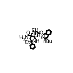 CCCCc1cc2ccccc2c(OCC[N+](C)(C)C[C@@]2(C(N)=O)C=CN[C@@](CC)(c3ccccc3)C2)n1